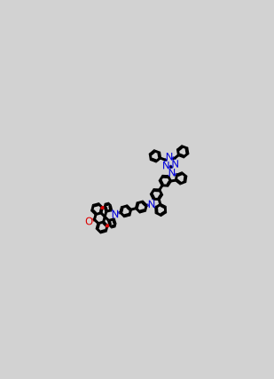 O=C1c2ccccc2C2(c3ccccc31)c1ccccc1N(c1ccc(-c3ccc(-n4c5ccccc5c5cc(-c6ccc7c(c6)c6ccccc6n7-c6nc(-c7ccccc7)nc(-c7ccccc7)n6)ccc54)cc3)cc1)c1ccccc12